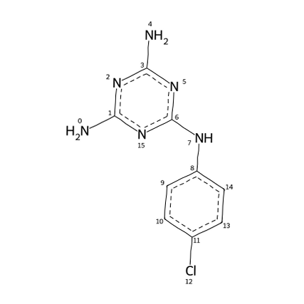 Nc1nc(N)nc(Nc2ccc(Cl)cc2)n1